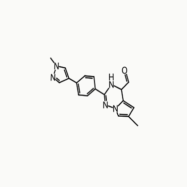 Cc1cc2n(c1)N=C(c1ccc(-c3cnn(C)c3)cc1)NC2C=O